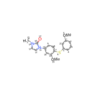 COc1cccc(Sc2ccc(-n3ccn(C)c3=O)cc2OC)c1